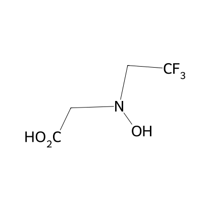 O=C(O)CN(O)CC(F)(F)F